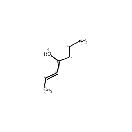 CC=CC(O)CCN